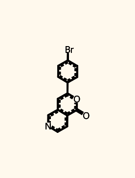 O=c1oc(-c2ccc(Br)cc2)cc2cnccc12